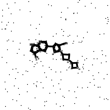 CC(C)c1cc(-c2cnc3[nH]cc(C(F)(F)F)c3c2)nn1C1CN(C2COC2)C1